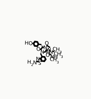 CNC(=O)N(C(C)C)N1CC(=O)N2[C@@H](Cc3ccc(O)cc3)C(=O)N(Cc3cccc4sc(N)nc34)C[C@@H]21